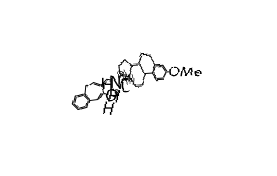 COc1ccc2c(c1)CCC1C2CC[C@@]2(C)C1CC[C@H]2NCC1=CCc2ccccc2C=C1O